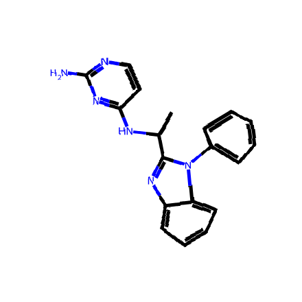 CC(Nc1ccnc(N)n1)c1nc2ccccc2n1-c1ccccc1